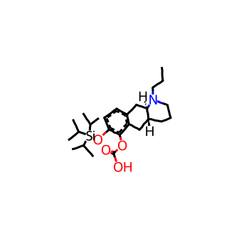 CCCN1CCC[C@@H]2Cc3c(ccc(O[Si](C(C)C)(C(C)C)C(C)C)c3OC(=O)O)C[C@H]21